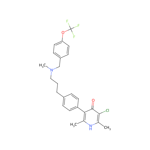 Cc1[nH]c(C)c(-c2ccc(CCCN(C)Cc3ccc(OC(F)(F)F)cc3)cc2)c(=O)c1Cl